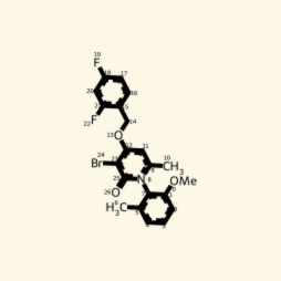 COc1cccc(C)c1-n1c(C)cc(OCc2ccc(F)cc2F)c(Br)c1=O